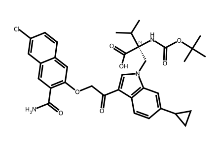 CC(C)[C@@](Cn1cc(C(=O)COc2cc3ccc(Cl)cc3cc2C(N)=O)c2ccc(C3CC3)cc21)(NC(=O)OC(C)(C)C)C(=O)O